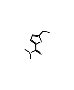 CCc1ccc(C(=O)N(C)C)s1